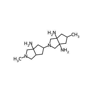 CC1CC2(N)CN(C3CC4CN(C)CC4(N)C3)CC2(N)C1